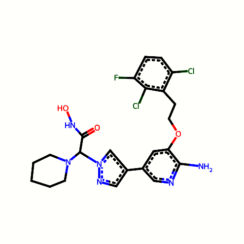 Nc1ncc(-c2cnn(C(C(=O)NO)N3CCCCC3)c2)cc1OCCc1c(Cl)ccc(F)c1Cl